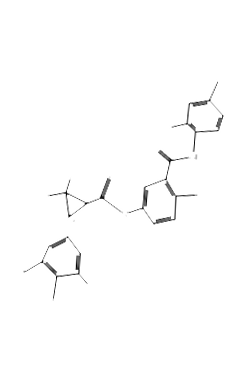 O=C(Nc1ccc(F)cc1F)c1cc(NC(=O)C2[C@H](c3cc(Cl)c(Cl)c(Cl)c3)C2(Cl)Cl)ccc1Cl